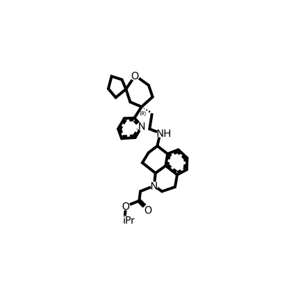 CC(C)OC(=O)CN1CCc2cccc3c2C1CCC3NCC[C@@]1(c2ccccn2)CCOC2(CCCC2)C1